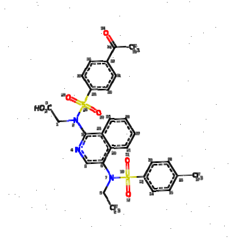 O=C(O)CN(c1ncc(N(CC(F)(F)F)S(=O)(=O)c2ccc(C(F)(F)F)cc2)c2ccccc12)S(=O)(=O)c1ccc(C(=O)C(F)(F)F)cc1